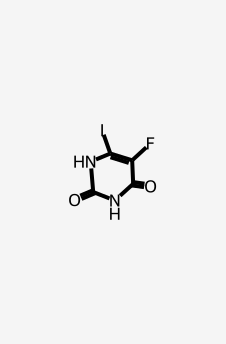 O=c1[nH]c(I)c(F)c(=O)[nH]1